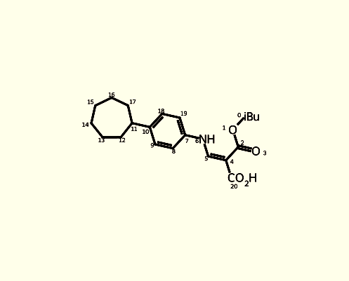 CCC(C)OC(=O)C(=CNc1ccc(C2CCCCCC2)cc1)C(=O)O